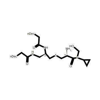 CCCCCCCCCCCC(=O)NC[C@H](CSC[C@H](N)C(=O)N(CO)C1CC1)NC(=O)CCCCCCCCCCC